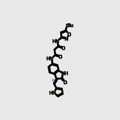 CC(C)(C)c1cc(NC(=O)CC(=O)Nc2ccc3c(c2)NC(=O)/C3=C\c2ccc[nH]2)no1